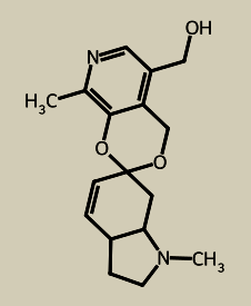 Cc1ncc(CO)c2c1OC1(C=CC3CCN(C)C3C1)OC2